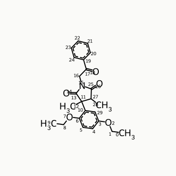 CCOc1ccc(OCC)c(C2(C)C(=O)N(CC(=O)c3ccccc3)C(=O)C2C)c1